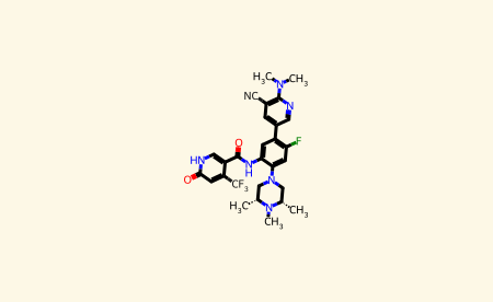 C[C@@H]1CN(c2cc(F)c(-c3cnc(N(C)C)c(C#N)c3)cc2NC(=O)c2c[nH]c(=O)cc2C(F)(F)F)C[C@H](C)N1C